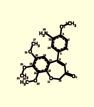 COc1ccc(C2=CC(=O)COc3c2cc(OC)c(OC)c3OC)cc1N